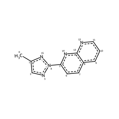 Cc1cnn(-c2ccc3cccnc3n2)n1